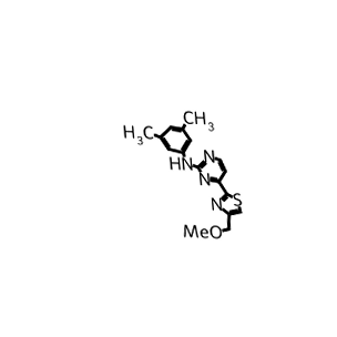 COCc1csc(-c2ccnc(Nc3cc(C)cc(C)c3)n2)n1